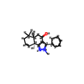 Cn1nc2c(c1-c1ccccc1)C(=O)C[C@H]1C(C)(C)CC=C[C@]21C